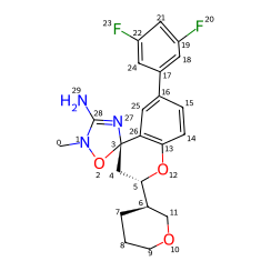 CN1O[C@]2(C[C@@H]([C@@H]3CCCOC3)Oc3ccc(-c4cc(F)cc(F)c4)cc32)N=C1N